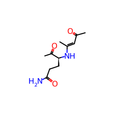 CC(=O)/C=C(\C)N[C@@H](CCC(N)=O)C(C)=O